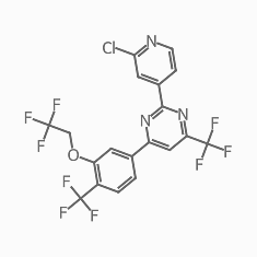 FC(F)(F)COc1cc(-c2cc(C(F)(F)F)nc(-c3ccnc(Cl)c3)n2)ccc1C(F)(F)F